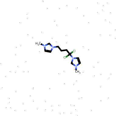 CN1C=CN(CCCC(Cl)(Cl)N2C=CN(C)C2)C1